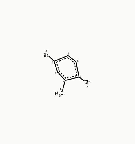 Cc1cc(Br)ccc1S